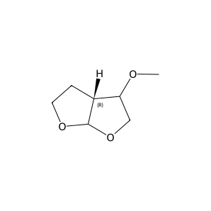 COC1COC2OCC[C@H]12